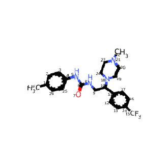 Cc1ccc(NC(=O)NCC(c2ccc(C(F)(F)F)cc2)N2CCN(C)CC2)cc1